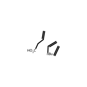 C=C.C=CCC(=O)O.C=CCCCC